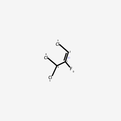 F/C(=C/Cl)C(Cl)Cl